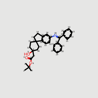 CC(C)(C)OC(=O)CC1(O)CCC2(CCc3cc(N=C(c4ccccc4)c4ccccc4)ccc32)CC1